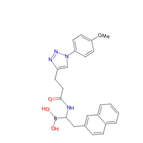 COc1ccc(-n2cc(CCC(=O)NC(Cc3ccc4ccccc4c3)B(O)O)nn2)cc1